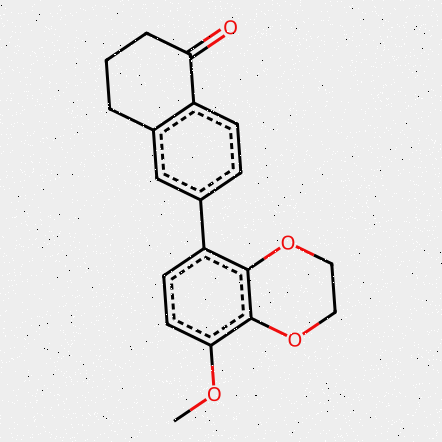 COc1ccc(-c2ccc3c(c2)CCCC3=O)c2c1OCCO2